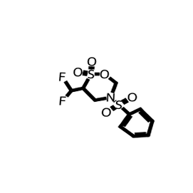 O=S1(=O)OCN(S(=O)(=O)c2ccccc2)CC1C(F)F